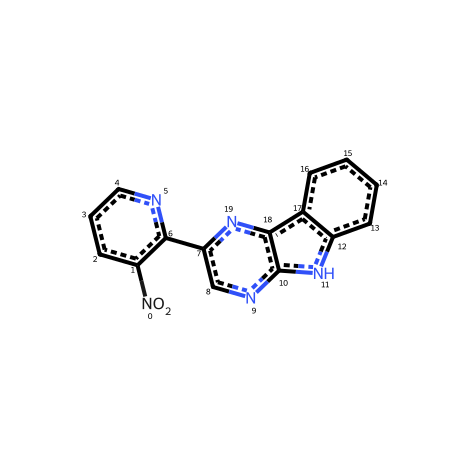 O=[N+]([O-])c1cccnc1-c1cnc2[nH]c3ccccc3c2n1